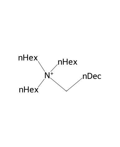 CCCCCCCCCCC[N+](CCCCCC)(CCCCCC)CCCCCC